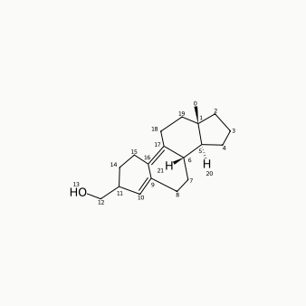 C[C@@]12CCC[C@H]1[C@@H]1CCC3=CC(CO)CCC3=C1CC2